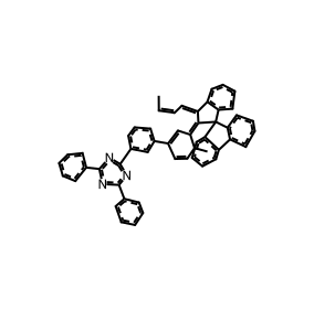 C\C=C/C=C1\C(=C2/C=C(c3cccc(-c4nc(-c5ccccc5)nc(-c5ccccc5)n4)c3)C=CC2C)C2(c3ccccc31)c1ccccc1-c1ccccc12